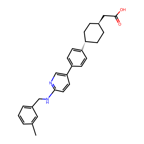 Cc1cccc(CNc2ccc(-c3ccc([C@H]4CC[C@H](CC(=O)O)CC4)cc3)cn2)c1